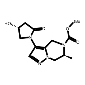 C[C@H]1Cn2ncc(N3C[C@H](O)CC3=O)c2CN1C(=O)OC(C)(C)C